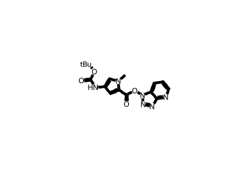 Cn1cc(NC(=O)OC(C)(C)C)cc1C(=O)On1nnc2ncccc21